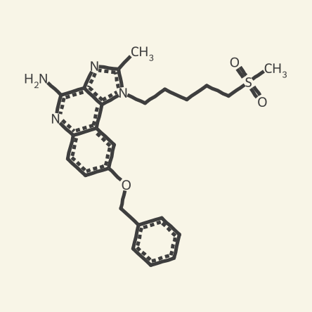 Cc1nc2c(N)nc3ccc(OCc4ccccc4)cc3c2n1CCCCCS(C)(=O)=O